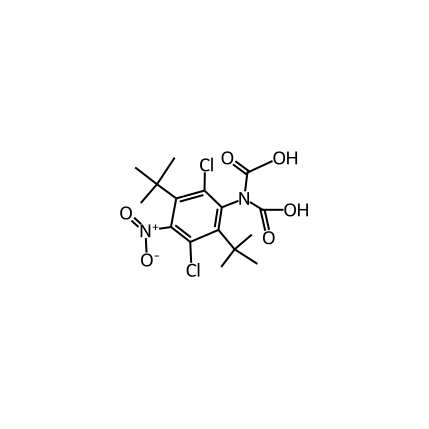 CC(C)(C)c1c(Cl)c([N+](=O)[O-])c(C(C)(C)C)c(Cl)c1N(C(=O)O)C(=O)O